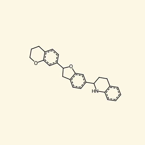 c1ccc2c(c1)CCC(c1ccc3c(c1)OC(c1ccc4c(c1)OCCC4)C3)N2